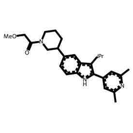 COCC(=O)N1CCCC(c2ccc3[nH]c(-c4cc(C)nc(C)c4)c(C(C)C)c3c2)C1